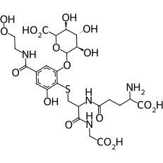 NC(CCC(=O)NC(CSc1c(O)cc(C(=O)NCCOO)cc1OC1OC(C(=O)O)[C@@H](O)[C@H](O)[C@H]1O)C(=O)NCC(=O)O)C(=O)O